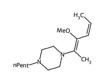 C/C=C\C(OC)=C(/C)N1CCN(CCCCC)CC1